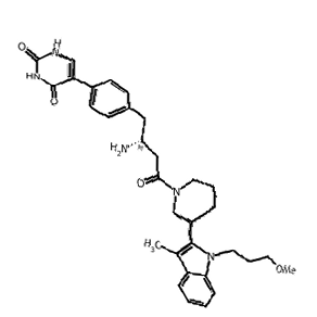 COCCCn1c(C2CCCN(C(=O)C[C@H](N)Cc3ccc(-c4c[nH]c(=O)[nH]c4=O)cc3)C2)c(C)c2ccccc21